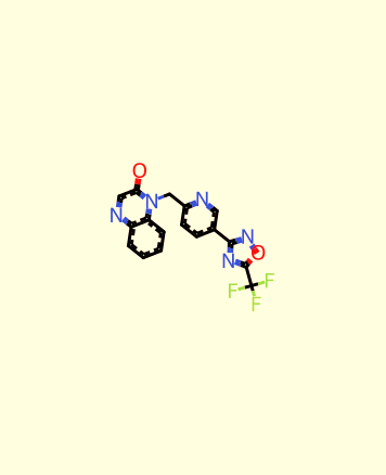 O=c1cnc2ccccc2n1Cc1ccc(-c2noc(C(F)(F)F)n2)cn1